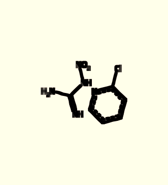 Clc1ccccn1.N=C(N)N[N+](=O)[O-]